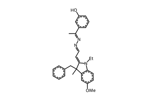 CCN1\C(=C/C=N/N=C(\C)c2cccc(O)c2)C(C)(Cc2ccccc2)c2cc(OC)ccc21